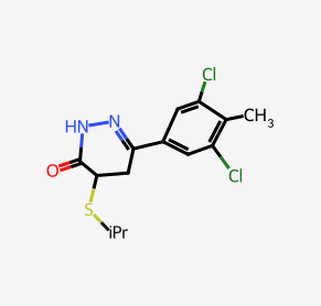 Cc1c(Cl)cc(C2=NNC(=O)C(SC(C)C)C2)cc1Cl